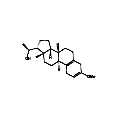 COC1=CCC2=C(CC[C@@H]3[C@@H]2CC[C@@]2(C)[C@@H]3CC[C@H]2[C@H](C)O)C1